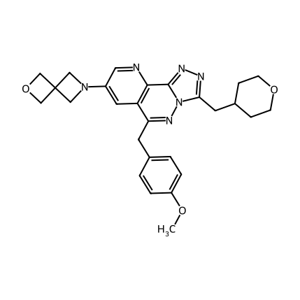 COc1ccc(Cc2nn3c(CC4CCOCC4)nnc3c3ncc(N4CC5(COC5)C4)cc23)cc1